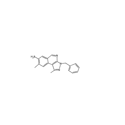 Bc1cc2cnc3c(c(C)nn3Cc3ccccc3)c2cc1C